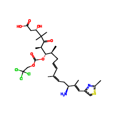 CC(=C/C[C@H](N)/C(C)=C/c1csc(C)n1)/C=C/C[C@H](C)[C@H](OC(=O)OCC(Cl)(Cl)Cl)[C@@H](C)C(=O)C(C)(C)[C@@H](O)CC(=O)O